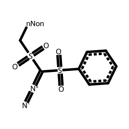 CCCCCCCCCCS(=O)(=O)C(=[N+]=[N-])S(=O)(=O)c1ccccc1